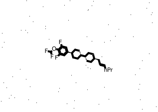 CCC/C=C/C[C@H]1CC[C@H]([C@H]2CC[C@H](c3cc(F)c(OC(F)F)c(F)c3)CC2)CC1